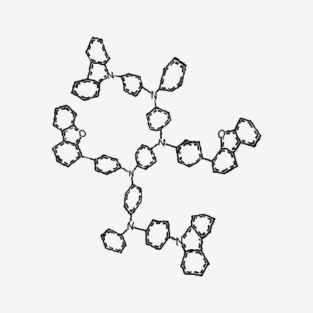 c1ccc(N(c2ccc(N(c3ccc(-c4cccc5c4oc4ccccc45)cc3)c3ccc(N(c4ccc(-c5cccc6c5oc5ccccc56)cc4)c4ccc(N(c5ccccc5)c5ccc(-n6c7ccccc7c7ccccc76)cc5)cc4)cc3)cc2)c2ccc(-n3c4ccccc4c4ccccc43)cc2)cc1